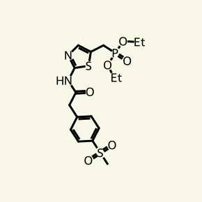 CCOP(=O)(Cc1cnc(NC(=O)Cc2ccc(S(C)(=O)=O)cc2)s1)OCC